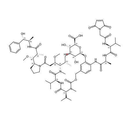 CC[C@H](C)[C@@H]([C@@H](CC(=O)N1CCC[C@H]1[C@H](OC)[C@@H](C)C(=O)N[C@H](C)[C@@H](O)c1ccccc1)OC)N(C)C(=O)[C@@H](NC(=O)[C@H](C(C)C)N(C)C(=O)OCc1ccc(NC(=O)[C@H](C)NC(=O)[C@@H](NC(=O)CN2C(=O)C=CC2=O)C(C)C)c(O[C@@H]2O[C@H](C(=O)O)[C@@H](O)[C@H](O)[C@H]2O)c1)C(C)C